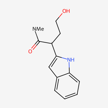 CNC(=O)[C](CCO)c1cc2ccccc2[nH]1